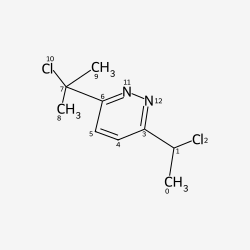 CC(Cl)c1ccc(C(C)(C)Cl)nn1